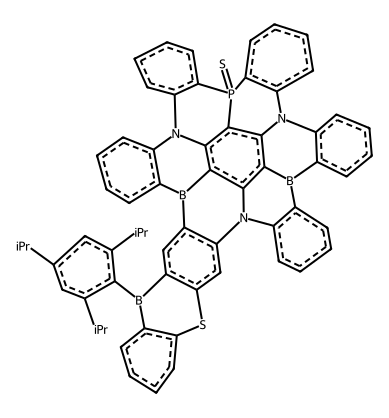 CC(C)c1cc(C(C)C)c(B2c3ccccc3Sc3cc4c(cc32)B2c3ccccc3N3c5ccccc5P5(=S)c6ccccc6N6c7ccccc7B7c8ccccc8N4c4c7c6c5c3c42)c(C(C)C)c1